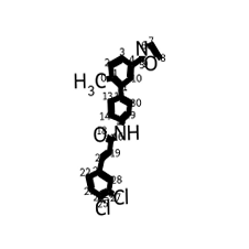 Cc1ccc(-c2ncco2)cc1-c1ccc(NC(=O)/C=C/c2ccc(Cl)c(Cl)c2)cc1